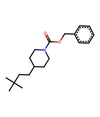 CC(C)(C)CCC1CCN(C(=O)OCc2ccccc2)CC1